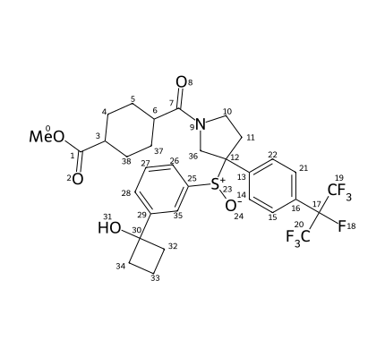 COC(=O)C1CCC(C(=O)N2CCC(c3ccc(C(F)(C(F)(F)F)C(F)(F)F)cc3)([S+]([O-])c3cccc(C4(O)CCC4)c3)C2)CC1